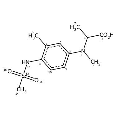 Cc1cc(N(C)C(C)C(=O)O)ccc1NS(C)(=O)=O